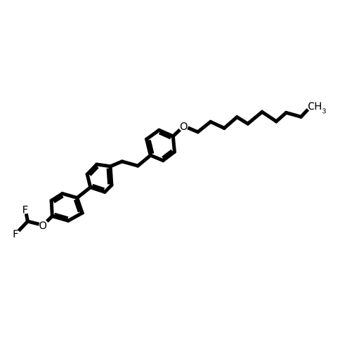 CCCCCCCCCCOc1ccc(CCc2ccc(-c3ccc(OC(F)F)cc3)cc2)cc1